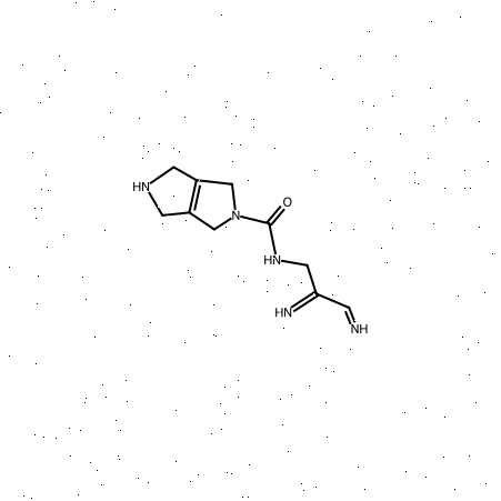 N=CC(=N)CNC(=O)N1CC2=C(CNC2)C1